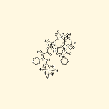 [2H]C([2H])([2H])C(OC(=O)N[C@@H](c1ccccc1)[C@@H](O)C(=O)O[C@H]1C[C@@]2(O)[C@@H](OC(=O)c3ccccc3)[C@@H]3[C@]4(OC(C)=O)CO[C@@H]4C[C@H](O)[C@@]3(C)C(=O)[C@H](OC)C(=C1C)C2(C)C)(C([2H])([2H])[2H])C([2H])([2H])[2H]